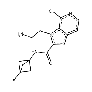 NCCn1c(C(=O)NC23CC(F)(C2)C3)cc2ccnc(Cl)c21